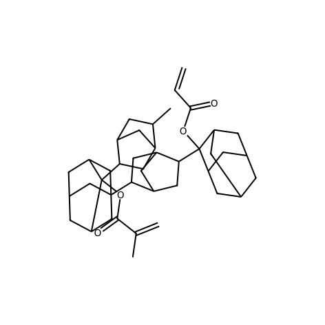 C=CC(=O)OC1(C2CC3CC2CC3C23CC4CC(C2)C(OC(=O)C(=C)C)(C2CC5CC2CC5C)C(C4)C3)C2CC3CC(C2)CC1C3